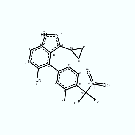 Cc1cc(-c2c(C#N)ncc3[nH]nc(C4CC4)c23)ccc1C(F)(F)[SH](=O)=O